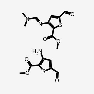 COC(=O)c1sc(C=O)cc1N.COC(=O)c1sc(C=O)cc1N=CN(C)C